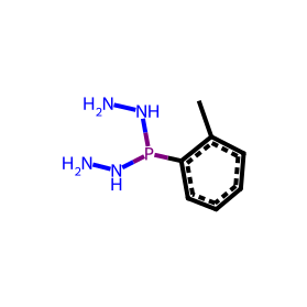 Cc1ccccc1P(NN)NN